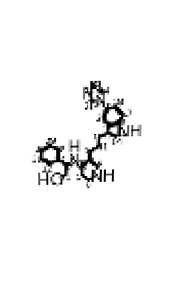 OCC(N[C@H]1CCNCC1CCCc1c[nH]c2ccc(-n3cnnc3)cc12)c1ccccc1